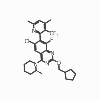 Cc1cc(C)c(C(F)(F)F)c(-c2c(Cl)cc3c(N4CCCC[C@@H]4C)nc(OCC4CCCC4)nc3c2F)n1